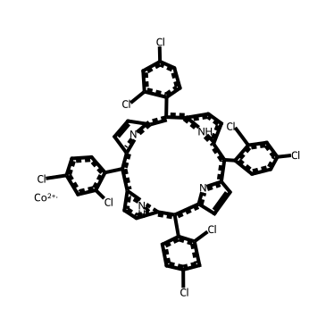 Clc1ccc(-c2c3nc(c(-c4ccc(Cl)cc4Cl)c4ccc([nH]4)c(-c4ccc(Cl)cc4Cl)c4nc(c(-c5ccc(Cl)cc5Cl)c5ccc2[nH]5)C=C4)C=C3)c(Cl)c1.[Co+2]